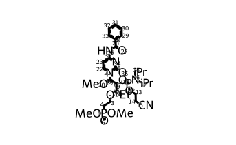 CC[C@H](OCCP(=O)(OC)OC)[C@@H](OP(OCCC#N)N(C(C)C)C(C)C)[C@H](OC)n1ccc(NC(=O)c2ccccc2)nc1=O